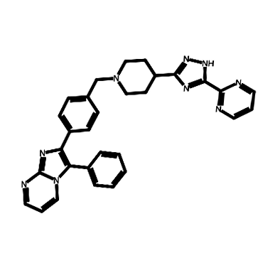 c1ccc(-c2c(-c3ccc(CN4CCC(c5n[nH]c(-c6ncccn6)n5)CC4)cc3)nc3ncccn23)cc1